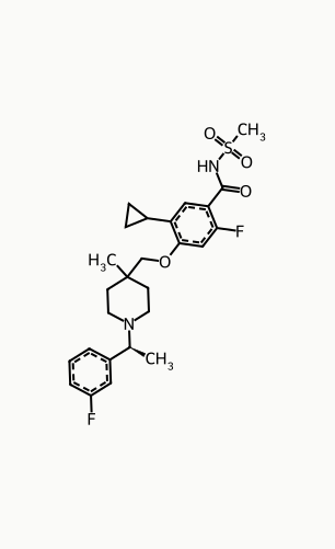 C[C@@H](c1cccc(F)c1)N1CCC(C)(COc2cc(F)c(C(=O)NS(C)(=O)=O)cc2C2CC2)CC1